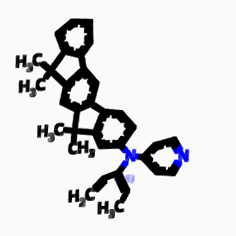 C=C/C(=C\C)N(c1ccncc1)c1ccc2c(c1)C(C)(C)c1cc3c(cc1-2)-c1ccccc1C3(C)C